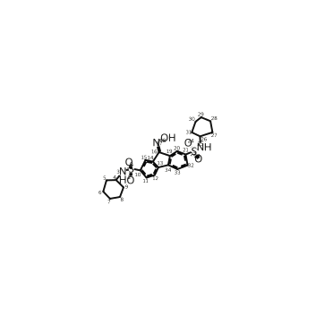 O=S(=O)(NC1CCCCC1)c1ccc2c(c1)C(=NO)c1cc(S(=O)(=O)NC3CCCCC3)ccc1-2